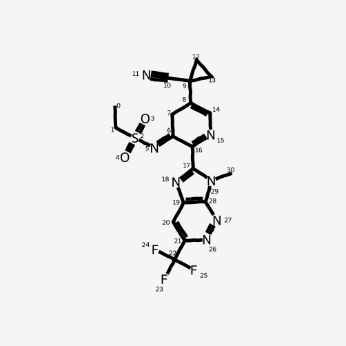 CCS(=O)(=O)N=C1CC(C2(C#N)CC2)=CN=C1c1nc2cc(C(F)(F)F)nnc2n1C